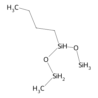 CCCC[SiH](O[SiH3])O[SiH2]C